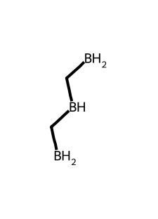 BCBCB